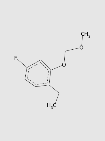 CCc1ccc(F)cc1OCOC